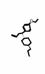 C=CCC(c1ccc(OCC)cc1)[C@H]1CC[C@H](CCC)CC1